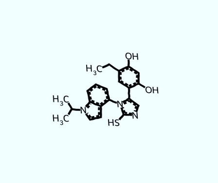 CCc1cc(-c2cnc(S)n2-c2cccc3c2ccn3C(C)C)c(O)cc1O